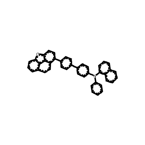 c1ccc(N(c2ccc(-c3ccc(-c4ccc5oc6cccc7ccc4c5c76)cc3)cc2)c2cccc3ccccc23)cc1